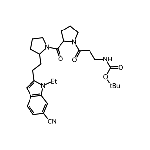 CCn1c(CCC2CCCN2C(=O)C2CCCN2C(=O)CCNC(=O)OC(C)(C)C)cc2ccc(C#N)cc21